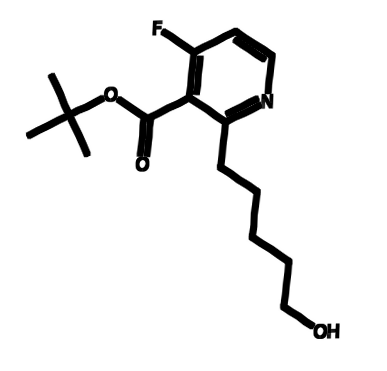 CC(C)(C)OC(=O)c1c(F)ccnc1CCCCCO